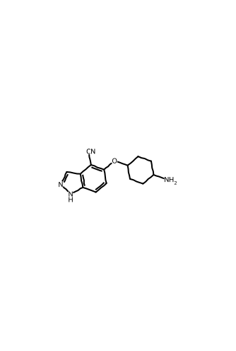 N#Cc1c(OC2CCC(N)CC2)ccc2[nH]ncc12